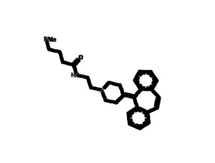 CNCCCC(=O)NCCN1CCC(=C2c3ccccc3C=Cc3ccccc32)CC1